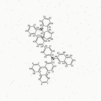 c1ccc(-c2ccccc2-c2ccc(N(c3ccc(-c4ccc(-c5ccccc5-n5c6ccccc6c6ccccc65)cc4)cc3)c3ccc4ccccc4c3)cc2)cc1